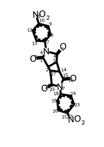 O=C1C2C(C(=O)N1c1ccc([N+](=O)[O-])cc1)C1C(=O)N(c3ccc([N+](=O)[O-])cc3)C(=O)C21